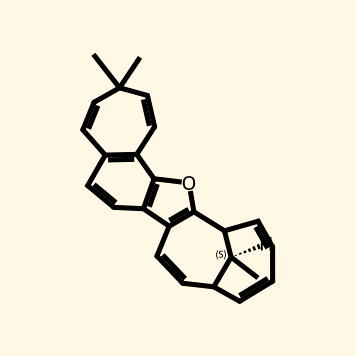 C[C@H]1C2C=CC=CC1c1oc3c4c(ccc3c1C=C2)C=CC(C)(C)C=C4